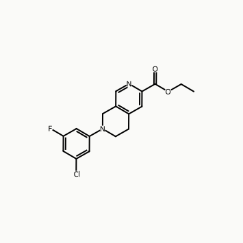 CCOC(=O)c1cc2c(cn1)CN(c1cc(F)cc(Cl)c1)CC2